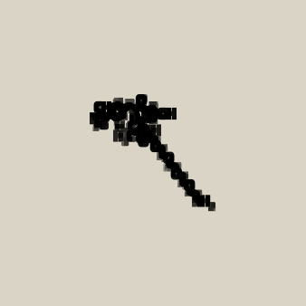 Cc1ncsc1-c1ccc(CNC(=O)C2CC(O)CN2C(=O)[C@@H](NC(=O)COCCOCCOCCOCCN)C(C)(C)C)cc1